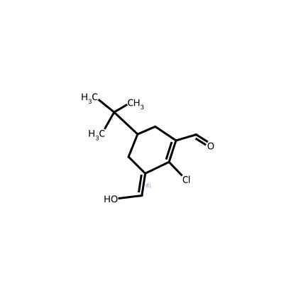 CC(C)(C)C1CC(C=O)=C(Cl)/C(=C/O)C1